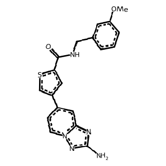 COc1cccc(CNC(=O)c2cc(-c3ccn4nc(N)nc4c3)cs2)c1